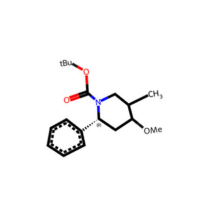 COC1C[C@H](c2ccccc2)N(C(=O)OC(C)(C)C)CC1C